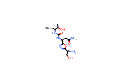 CC(O)C(NC(=O)N[C@@H](CC(N)=O)c1nnc([C@@H](N)CO)o1)C(=O)O